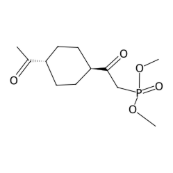 COP(=O)(CC(=O)[C@H]1CC[C@H](C(C)=O)CC1)OC